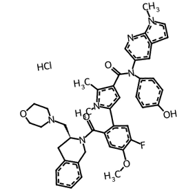 COc1cc(C(=O)N2Cc3ccccc3C[C@H]2CN2CCOCC2)c(-c2cc(C(=O)N(c3ccc(O)cc3)c3cnc4c(ccn4C)c3)c(C)n2C)cc1F.Cl